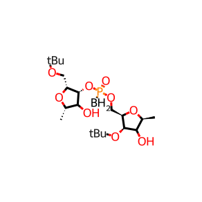 BP(=O)(OC[C@H]1O[C@@H](C)C(O)[C@H]1OC(C)(C)C)O[C@@H]1C(O)[C@H](C)O[C@@H]1COC(C)(C)C